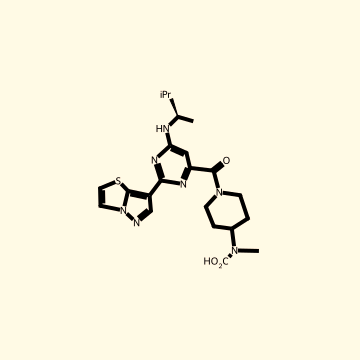 CC(C)[C@@H](C)Nc1cc(C(=O)N2CCC(N(C)C(=O)O)CC2)nc(-c2cnn3ccsc23)n1